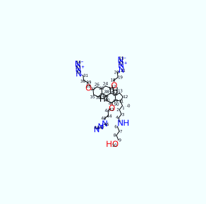 C[C@H](CCCNCCCCO)C1CC[C@H]2C3[C@H](OCCCN=[N+]=[N-])CC4C[C@H](OCCCN=[N+]=[N-])CC[C@]4(C)[C@H]3C[C@H](OCCCN=[N+]=[N-])[C@]12C